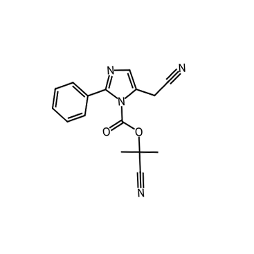 CC(C)(C#N)OC(=O)n1c(CC#N)cnc1-c1ccccc1